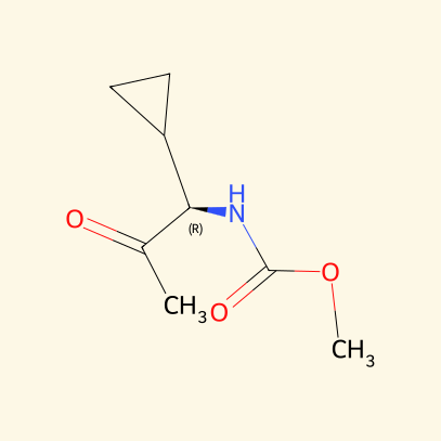 COC(=O)N[C@@H](C(C)=O)C1CC1